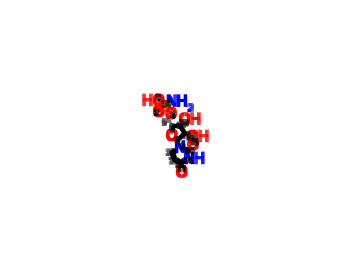 NP(=O)(O)OC[C@H]1O[C@@H](n2ccc(=O)[nH]c2=O)[C@H](O)[C@@H]1O